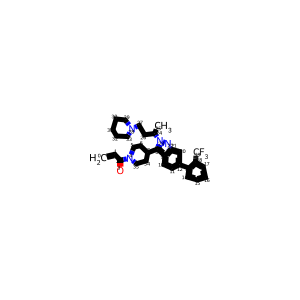 C=CC(=O)N1CCC(c2c3ccc(-c4ccccc4C(F)(F)F)cc3nn2C(C)CCN2CCCCC2)CC1